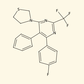 Fc1ccc(-c2nc(C(F)(F)F)nc(N3CCSC3)c2-c2ccccc2)cc1